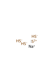 [Na+].[S+2].[SH-].[SH-].[SH-]